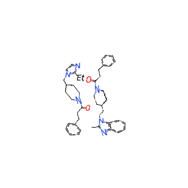 CCc1nccn1CC1CCN(C(=O)CCc2ccccc2)CC1.Cc1nc2ccccc2n1CCC1CCN(C(=O)CCc2ccccc2)CC1